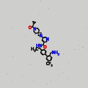 C[C@@H](NC(=O)c1cncc(N2CC3(CCN(C(=O)C4CC4)CC3)C2)c1)c1ccc(-c2cc(C(F)(F)F)ccc2CN)cc1